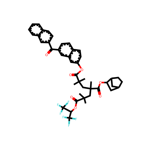 CC(C)(CC(C)(CC(C)(C)C(=O)OC(C(F)(F)F)C(F)(F)F)C(=O)OC1CC2CCC1C2)C(=O)Oc1ccc2ccc(C(=O)c3ccc4ccccc4c3)cc2c1